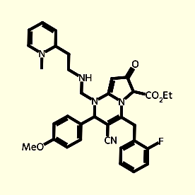 CCOC(=O)C1C(=O)C=C2N(CNCCC3C=CC=CN3C)C(c3ccc(OC)cc3)C(C#N)=C(Cc3ccccc3F)N21